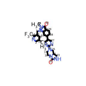 Cc1cnc(C(F)(F)F)c(Cn2c3cc(-c4cnc(N5CCN6C(=O)NCC6C5)nc4)ccc3c(=O)n2C)c1